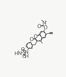 C#Cc1cc2c(C)c(Cc3cccc(NS(=O)(=O)NC)c3)c(=O)oc2cc1OC(=O)N(C)C